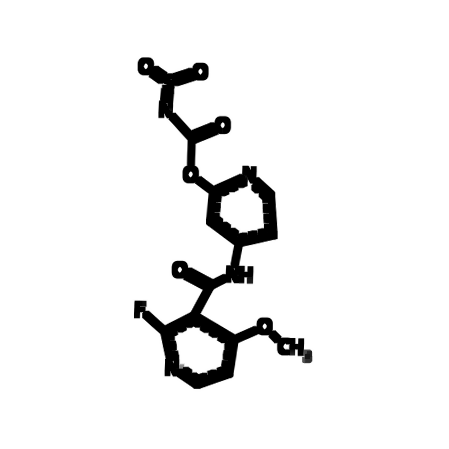 COc1ccnc(F)c1C(=O)Nc1ccnc(OC(=O)N=S(=O)=O)c1